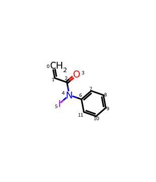 C=CC(=O)N(I)c1ccccc1